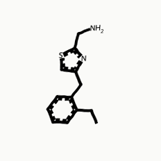 CCc1ccccc1Cc1csc(CN)n1